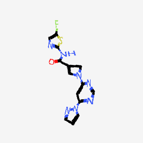 O=C(Nc1ncc(F)s1)C1CN(c2cc(-n3cccn3)ncn2)C1